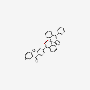 O=c1c2ccc(N3c4ccccc4C4(c5ccccc5N(c5ccccc5)c5ccccc54)c4ccccc43)cc2oc2ccncc12